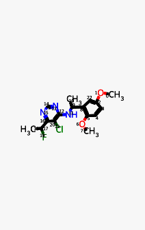 COc1ccc(OC)c(C(C)Nc2ncnc(C(C)F)c2Cl)c1